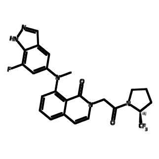 CN(c1cc(F)c2[nH]ncc2c1)c1cccc2ccn(CC(=O)N3CCC[C@H]3C(F)(F)F)c(=O)c12